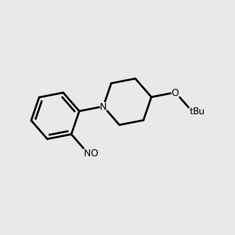 CC(C)(C)OC1CCN(c2ccccc2N=O)CC1